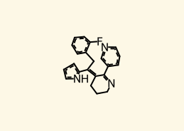 Fc1ccccc1CC(=C1CCCN=C1c1cccnc1)c1ccc[nH]1